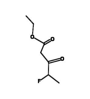 CCOC(=O)CC(=O)C(C)F